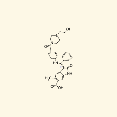 Cc1cc2c(cc1C(=O)O)NC(=O)/C2=C(/Nc1ccc(C(=O)N2CCN(CCO)CC2)cc1)c1ccccc1